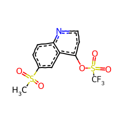 CS(=O)(=O)c1ccc2nccc(OS(=O)(=O)C(F)(F)F)c2c1